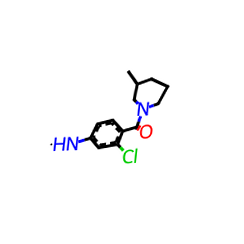 CC1CCCN(C(=O)c2ccc([NH])cc2Cl)C1